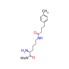 CNC(=O)[C@@H](N)CCCCNC(=O)CCCc1ccc(C)cc1